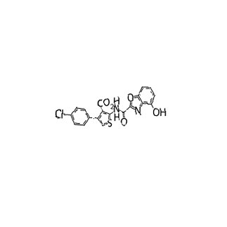 O=C(Nc1scc(-c2ccc(Cl)cc2)c1C(=O)O)c1nc2c(O)cccc2o1